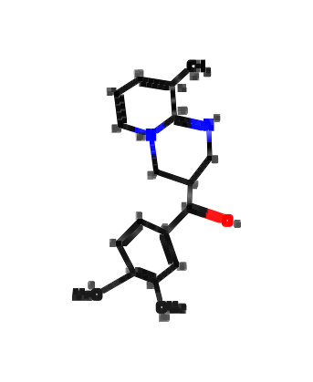 COc1ccc(C(=O)C2CN=C3C(C)=CC=CN3C2)cc1OC